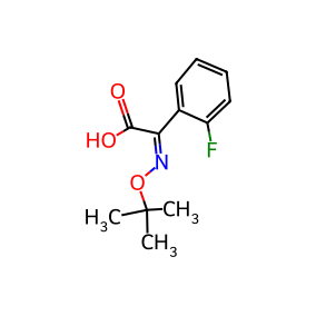 CC(C)(C)ON=C(C(=O)O)c1ccccc1F